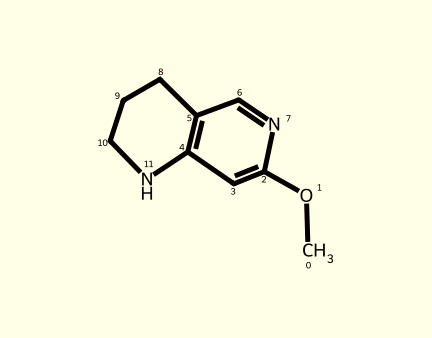 COc1cc2c(cn1)CCCN2